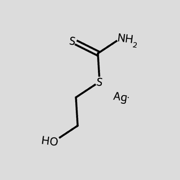 NC(=S)SCCO.[Ag]